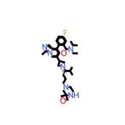 CCN(C(=O)c1cc(F)ccc1-c1cc(C2CN([C@H](CCCN3CCNC4(COC4)C3)C(C)C)C2)cn2c(C)ncc12)C(C)C